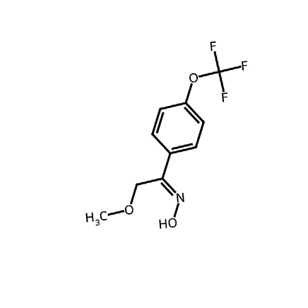 COCC(=NO)c1ccc(OC(F)(F)F)cc1